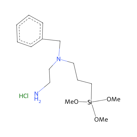 CO[Si](CCCN(CCN)Cc1ccccc1)(OC)OC.Cl